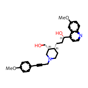 COc1ccc(C#CCN2CC[C@@H](CC[C@H](O)c3ccnc4ccc(OC)cc34)[C@@H](CO)C2)cc1